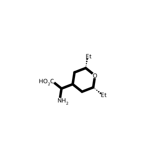 CC[C@@H]1CC(C(N)C(=O)O)C[C@H](CC)O1